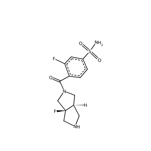 NS(=O)(=O)c1ccc(C(=O)N2C[C@H]3CNC[C@]3(F)C2)c(F)c1